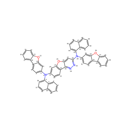 c1ccc2c(N(c3ccc4c(c3)oc3ccccc34)c3ccc4c(c3)oc3cc(N(c5ccc6c(c5)oc5ccccc56)c5cccc6ccccc56)nnc34)cccc2c1